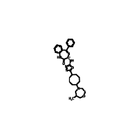 CC1COSCN(C2CCCC(c3nnc(N[C@H]4N=C(c5ccccc5)c5ccccc5NC4=O)o3)CCC2)C1